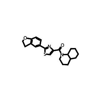 O=C(c1csc(-c2ccc3c(c2)CCO3)n1)N1CCCC2CCCCC21